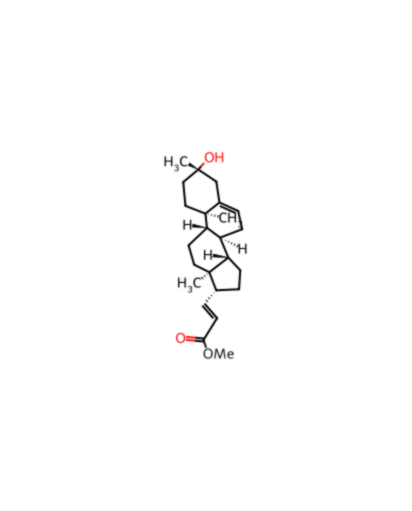 COC(=O)/C=C/[C@H]1CC[C@H]2[C@@H]3CC=C4C[C@@](C)(O)CC[C@]4(C)[C@H]3CC[C@]12C